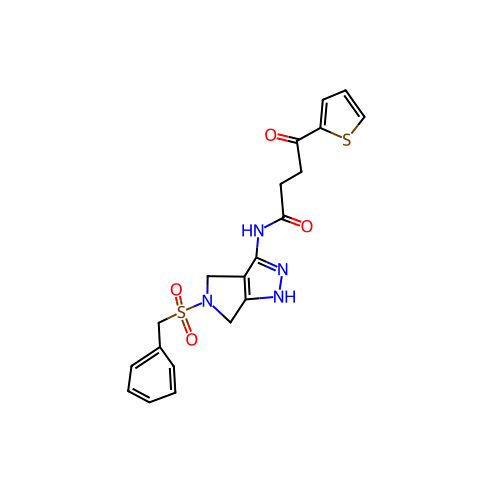 O=C(CCC(=O)c1cccs1)Nc1n[nH]c2c1CN(S(=O)(=O)Cc1ccccc1)C2